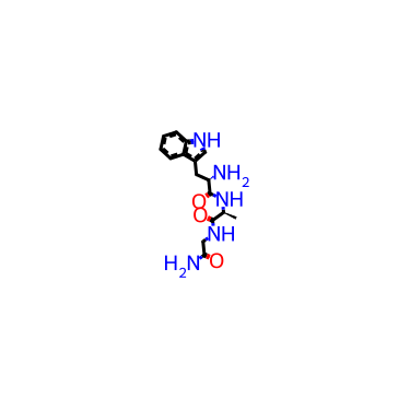 C[C@H](NC(=O)[C@@H](N)Cc1c[nH]c2ccccc12)C(=O)NCC(N)=O